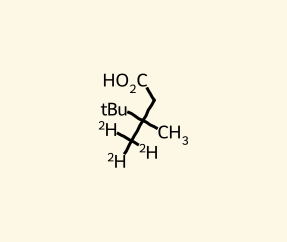 [2H]C([2H])([2H])C(C)(CC(=O)O)C(C)(C)C